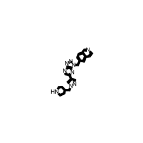 c1cc2cc(Cn3nnc4ncc(-c5cnn(CC6CCNCC6)c5)nc43)ccc2cn1